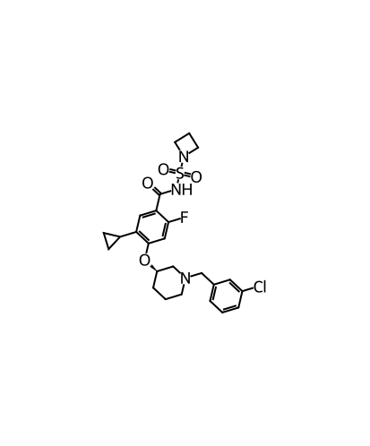 O=C(NS(=O)(=O)N1CCC1)c1cc(C2CC2)c(O[C@@H]2CCCN(Cc3cccc(Cl)c3)C2)cc1F